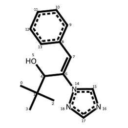 CC(C)(C)C(O)/C(=C\c1ccccc1)n1cncn1